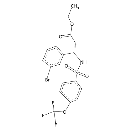 CCOC(=O)C[C@H](NS(=O)(=O)c1ccc(OC(F)(F)F)cc1)c1cccc(Br)c1